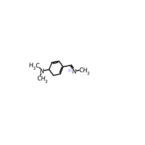 C/N=C/C1=CCC(N(C)C)C=C1